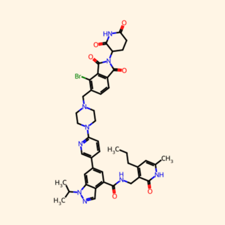 CCCc1cc(C)[nH]c(=O)c1CNC(=O)c1cc(-c2ccc(N3CCN(Cc4ccc5c(c4Br)C(=O)N(C4CCC(=O)NC4=O)C5=O)CC3)nc2)cc2c1cnn2C(C)C